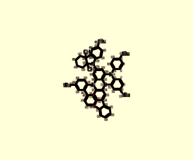 CC(C)(C)c1ccc(N2c3ccc(C(C)(C)C)cc3B3c4cc5c(cc4N(c4ccc(C(C)(C)C)cc4-c4ccccc4)c4cc(N6c7ccc(C(C)(C)C)cc7C7(C)CCCCC67C)cc2c43)sc2ccccc25)cc1